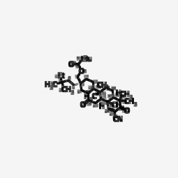 CCC(C)(C)CC[C@]1(COC(=O)C(C)(C)C)CC[C@]2(C)C(C1)C(=O)C[C@@H]1[C@@]3(C)C=C(C#N)C(=O)C(C)(C)[C@@H]3CC[C@]12C